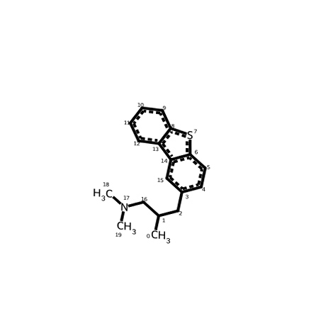 CC(Cc1ccc2sc3ccccc3c2c1)CN(C)C